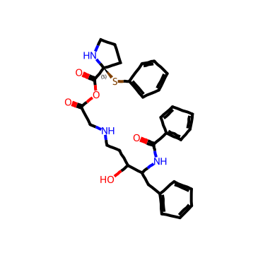 O=C(CNCCC(O)C(Cc1ccccc1)NC(=O)c1ccccc1)OC(=O)[C@@]1(Sc2ccccc2)CCCN1